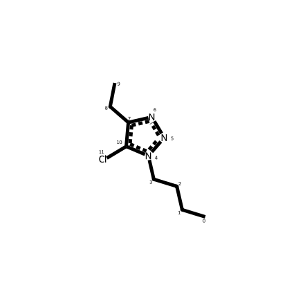 CCCCn1nnc(CC)c1Cl